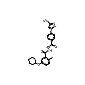 CCCCc1cn(-c2ccc(C(=O)NNC(=O)c3cc(OC4CCCCC4)ccc3C)cc2)nn1